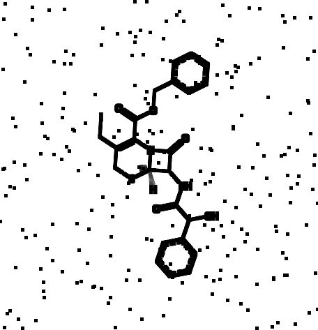 O=C(OCc1ccccc1)C1=C(CI)CS[C@@H]2C(NC(=O)C(O)c3ccccc3)C(=O)N12